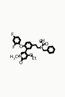 CCOc1cc(=O)n(C)cc1-c1cc(CCN(Cc2ccccc2)[SH](=O)=O)ccc1Oc1ccc(F)cc1F